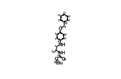 CC(CNc1ccc(OCc2ccccc2)cc1)NC(=O)OC(C)(C)C